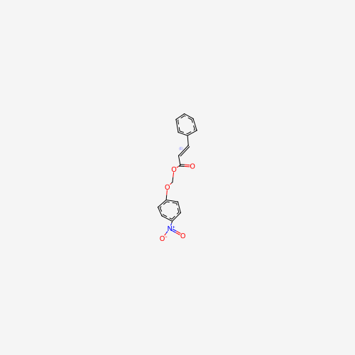 O=C(/C=C/c1ccccc1)OCOc1ccc([N+](=O)[O-])cc1